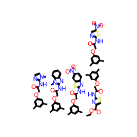 CCOC(=O)c1csc(NC(=O)COc2cc(C)cc(C)c2)n1.Cc1cc(C)cc(OCC(=O)Nc2nc3ccc([N+](=O)[O-])cc3s2)c1.Cc1cc(C)cc(OCC(=O)Nc2nc3ccccc3n2C)c1.Cc1cc(C)cc(OCC(=O)Nc2ncc([N+](=O)[O-])s2)c1.Cc1cc(C)cc(OCC(=O)Nc2nccn2C)c1